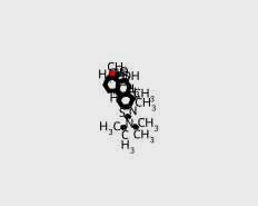 C=C1C(=O)[C@@]23[C@H](O)C[C@@H]4C(C)(C)c5nc(N(C(C)C)C(C)C)sc5C[C@@]4(C)[C@@H]2CC[C@H]1[C@H]3C